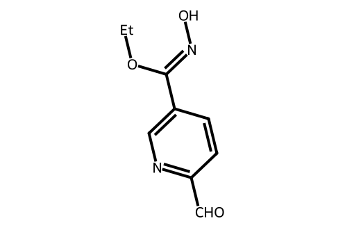 CCOC(=NO)c1ccc(C=O)nc1